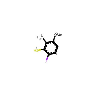 COc1ccc(I)c(S)c1C